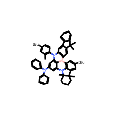 Cc1cc(C(C)(C)C)ccc1N1c2cc3c(cc2B2c4cc(C(C)(C)C)cc5c4N(c4cc(N(c6ccccc6)c6ccccc6)cc1c42)C1(C)CCCCC51C)C(C)(C)c1ccccc1-3